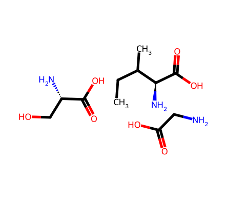 CCC(C)[C@H](N)C(=O)O.NCC(=O)O.N[C@@H](CO)C(=O)O